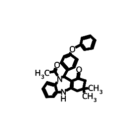 CC(=O)N1c2ccccc2NC2=C(C(=O)CC(C)(C)C2)C1c1ccc(Oc2ccccc2)cc1